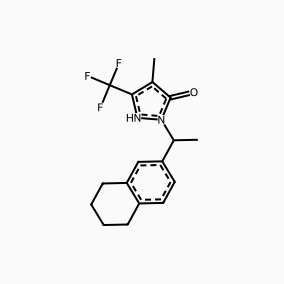 Cc1c(C(F)(F)F)[nH]n(C(C)c2ccc3c(c2)CCCC3)c1=O